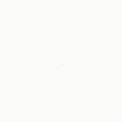 [Ca].[Fe].[Mg].[Zn]